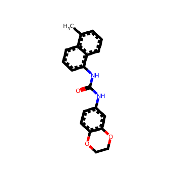 Cc1cccc2c(NC(=O)Nc3ccc4c(c3)OCCO4)cccc12